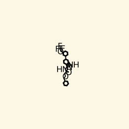 O=C(COCc1ccccc1)Nc1n[nH]c2cc(-c3cccc(OC(F)(F)F)c3)ccc12